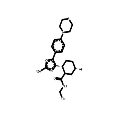 CC(C)(C)c1nc([C@@H]2CC[C@H](F)CC2C(=O)NCC#N)c(-c2ccc(N3CCSCC3)cc2)o1